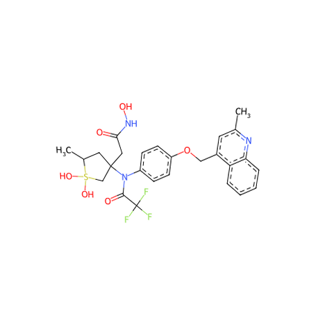 Cc1cc(COc2ccc(N(C(=O)C(F)(F)F)C3(CC(=O)NO)CC(C)S(O)(O)C3)cc2)c2ccccc2n1